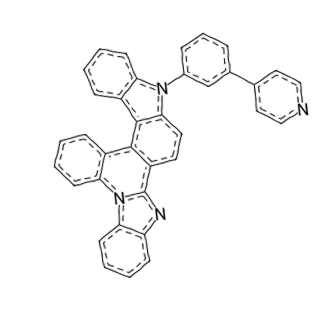 c1cc(-c2ccncc2)cc(-n2c3ccccc3c3c4c5ccccc5n5c6ccccc6nc5c4ccc32)c1